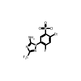 CCc1cc(F)c(-n2nc(C(F)(F)F)nc2N)cc1S(=O)(=O)Cl